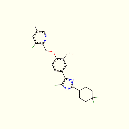 COc1cc(-c2[nH]c(C3CCC(F)(F)CC3)nc2Cl)ccc1OCc1ncc(C(F)(F)F)cc1F